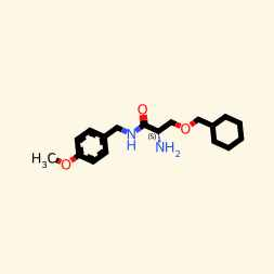 COc1ccc(CNC(=O)[C@@H](N)COCC2CCCCC2)cc1